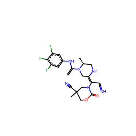 C=C(Nc1cc(F)c(F)c(F)c1)N1C/C(=C(/C=N)N2CC(C)(C#N)COC2=O)NC[C@@H]1C